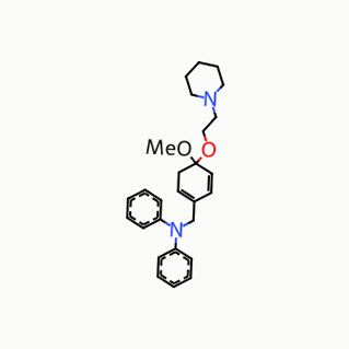 COC1(OCCN2CCCCC2)C=CC(CN(c2ccccc2)c2ccccc2)=CC1